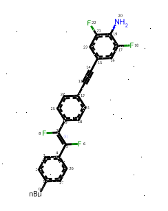 CCCCc1ccc(/C(F)=C(\F)c2ccc(C#Cc3cc(F)c(N)c(F)c3)cc2)cc1